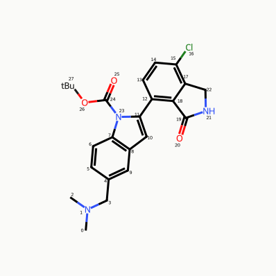 CN(C)Cc1ccc2c(c1)cc(-c1ccc(Cl)c3c1C(=O)NC3)n2C(=O)OC(C)(C)C